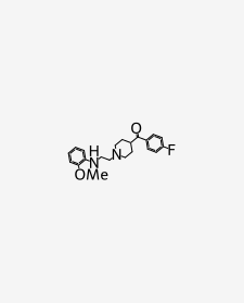 COc1ccccc1NCCN1CCC(C(=O)c2ccc(F)cc2)CC1